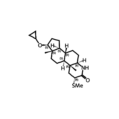 CS[C@@H]1C[C@@]2(C)[C@@H](CC[C@@H]3[C@@H]2CC[C@]2(C)[C@@H](OC4CC4)CC[C@@H]32)NC1=O